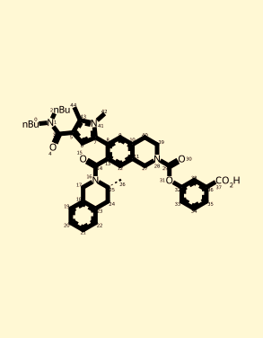 CCCCN(CCCC)C(=O)c1cc(-c2cc3c(cc2C(=O)N2Cc4ccccc4C[C@H]2C)CN(C(=O)Oc2cccc(C(=O)O)c2)CC3)n(C)c1C